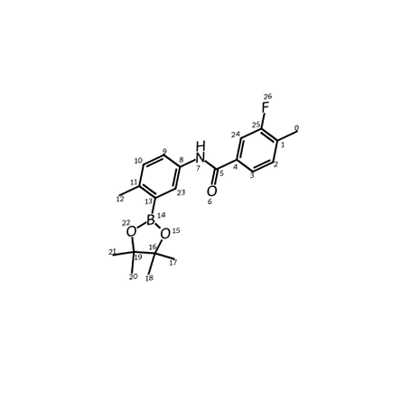 Cc1ccc(C(=O)Nc2ccc(C)c(B3OC(C)(C)C(C)(C)O3)c2)cc1F